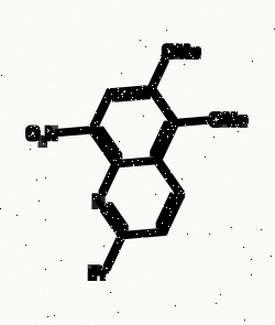 COc1cc([N+](=O)[O-])c2nc(C(C)C)ccc2c1OC